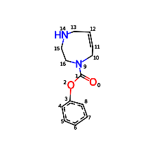 O=C(Oc1ccccc1)N1C/C=C\CNCC1